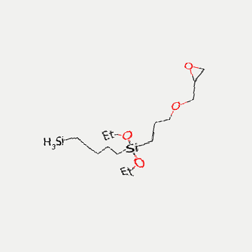 CCO[Si](CCCC[SiH3])(CCCOCC1CO1)OCC